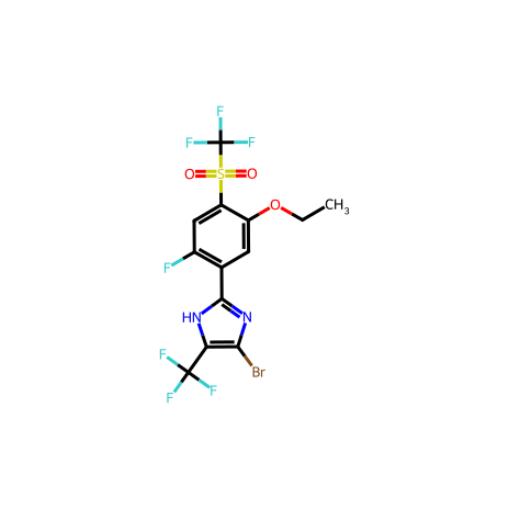 CCOc1cc(-c2nc(Br)c(C(F)(F)F)[nH]2)c(F)cc1S(=O)(=O)C(F)(F)F